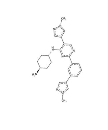 Cn1cc(-c2cccc(-c3ncc(-c4cnn(C)c4)c(N[C@H]4CC[C@H](N)CC4)n3)c2)cn1